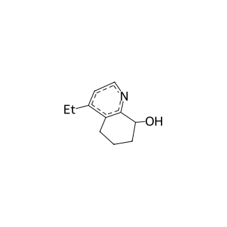 CCc1ccnc2c1CCCC2O